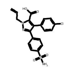 C=CCn1nc(-c2ccc(S(N)(=O)=O)cc2)c(-c2ccc(Cl)cc2)c1C(=O)O